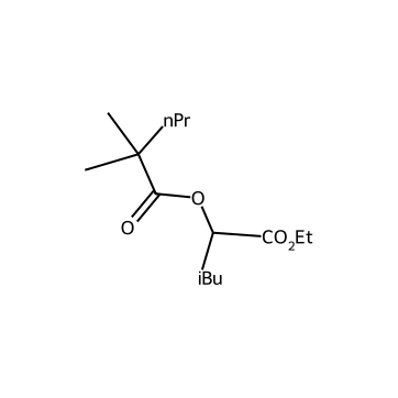 CCCC(C)(C)C(=O)OC(C(=O)OCC)C(C)CC